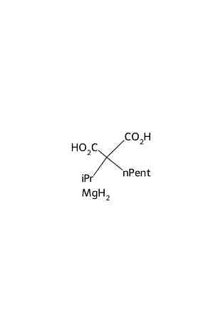 CCCCCC(C(=O)O)(C(=O)O)C(C)C.[MgH2]